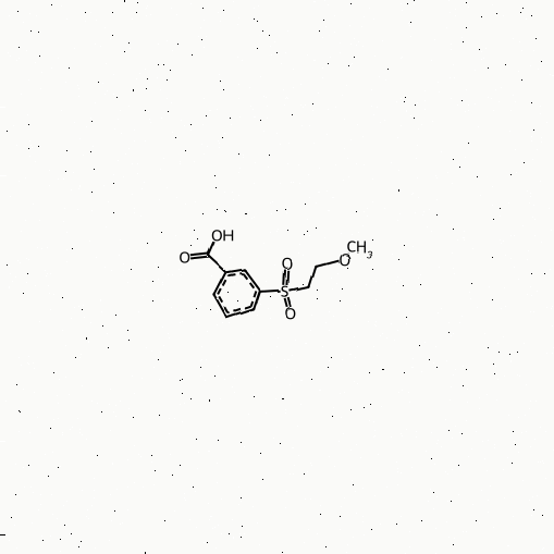 COCCS(=O)(=O)c1cccc(C(=O)O)c1